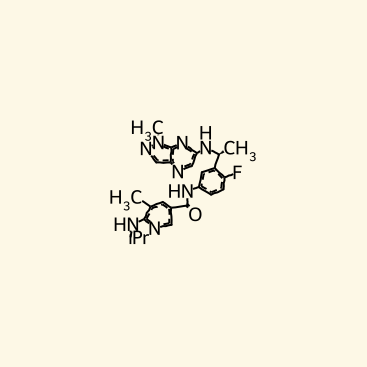 Cc1cc(C(=O)Nc2ccc(F)c([C@H](C)Nc3cnc4cnn(C)c4n3)c2)cnc1NC(C)C